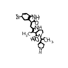 Cc1c(C=C2C(=O)Nc3ccc(Br)cc32)[nH]c2c1C(=O)N(C(C)C1(O)CCNCC1)CC2